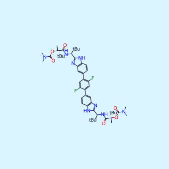 CN(C)C(=O)O[C@@](C)(C(=O)N[C@H](c1nc2cc(-c3cc(F)c(-c4ccc5[nH]c([C@@H](NC(=O)[C@](C)(OC(=O)N(C)C)C(C)(C)C)C(C)(C)C)nc5c4)cc3F)ccc2[nH]1)C(C)(C)C)C(C)(C)C